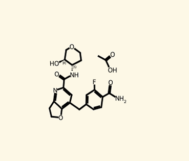 CC(=O)O.NC(=O)c1ccc(Cc2cc(C(=O)N[C@H]3CCOC[C@@H]3O)nc3c2OCC3)cc1F